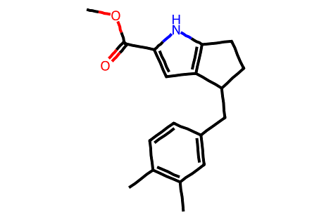 COC(=O)c1cc2c([nH]1)CCC2Cc1ccc(C)c(C)c1